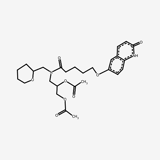 CC(=O)OCC(CN(CC1CCCCO1)C(=O)CCCCOc1ccc2[nH]c(=O)ccc2c1)OC(C)=O